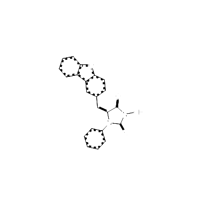 CN1C(=O)/C(=C\c2ccc3oc4ccccc4c3c2)N(c2ccccc2)C1=S